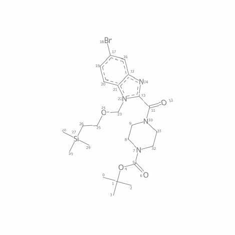 CC(C)(C)OC(=O)N1CCN(C(=O)c2nc3cc(Br)ccc3n2COCC[Si](C)(C)C)CC1